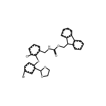 O=C(NCc1cccc(Cl)c1Sc1ccc(Br)cc1C1OCCO1)OCC1c2ccccc2-c2ccccc21